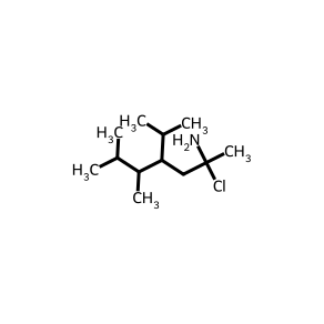 CC(C)C(C)C(CC(C)(N)Cl)C(C)C